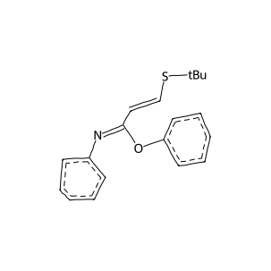 CC(C)(C)SC=CC(=Nc1ccccc1)Oc1ccccc1